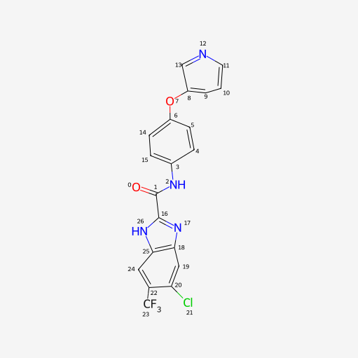 O=C(Nc1ccc(Oc2cccnc2)cc1)c1nc2cc(Cl)c(C(F)(F)F)cc2[nH]1